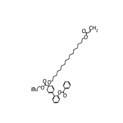 C=CC(=O)OCCCCCCCCCCCCCCCCOC1(C(=O)OCC(C)CC)C=CC(c2ccccc2OC(=O)c2ccccc2)=CC1